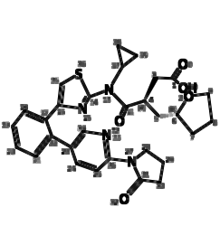 O=C(O)C[C@@H](C[C@H]1CCCO1)C(=O)N(c1nc(-c2ccccc2-c2ccc(N3CCCC3=O)nc2)cs1)C1CC1